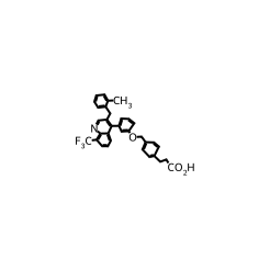 Cc1ccccc1Cc1cnc2c(C(F)(F)F)cccc2c1-c1cccc(OCc2ccc(CCC(=O)O)cc2)c1